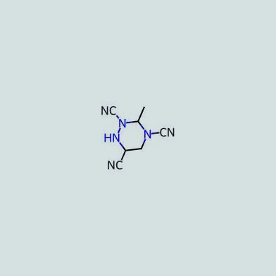 CC1N(C#N)CC(C#N)NN1C#N